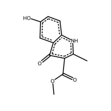 COC(=O)c1c(C)[nH]c2ccc(O)cc2c1=O